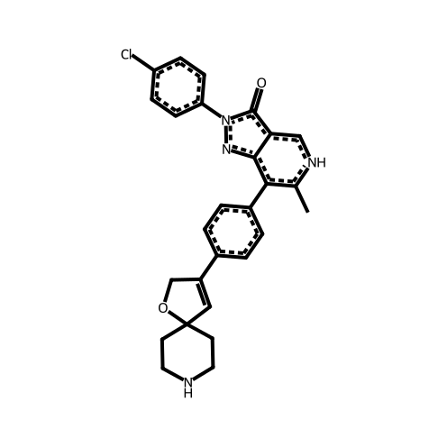 Cc1[nH]cc2c(=O)n(-c3ccc(Cl)cc3)nc-2c1-c1ccc(C2=CC3(CCNCC3)OC2)cc1